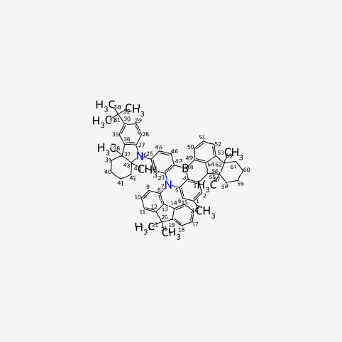 Cc1cc2c3c(c1)N(c1cccc4c1-c1ccccc1C4(C)C)c1cc(N4c5ccc(C(C)(C)C)cc5C5(C)CCCCC45C)ccc1B3c1cccc3c1C2C1(C)CCCCC31C